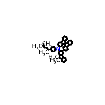 CC(C)=C/C=C(\C)c1ccc(N(c2ccc3c(c2)C(C)(C)c2ccccc2-3)c2ccc3c(c2)C2(c4ccccc4-c4ccccc42)c2ccccc2-3)cc1